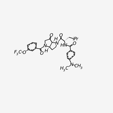 CC(C)C[C@H](NC(=O)c1ccc(N(C)C)cc1)C(=O)N1CC[C@@H]2[C@H]1C(=O)CN2C(=O)c1cccc(OC(F)(F)F)c1